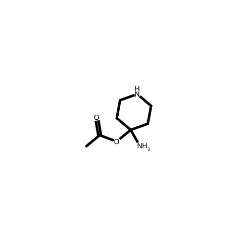 CC(=O)OC1(N)CCNCC1